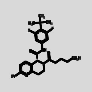 CC(C)c1ccc2c(n1)CCN(C(=O)CCCC(=O)O)[C@H]2C(=O)Nc1cc(F)c([Si](C)(C)C)c(F)c1